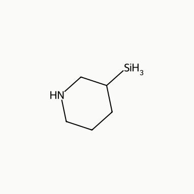 [SiH3]C1CCCNC1